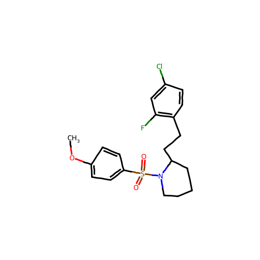 COc1ccc(S(=O)(=O)N2CCCCC2CCc2ccc(Cl)cc2F)cc1